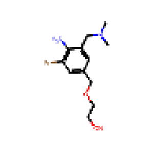 CN(C)Cc1cc(COCCO)cc(Br)c1N